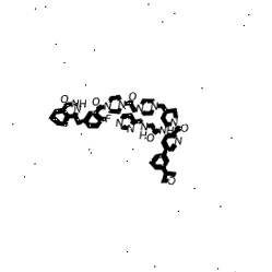 O=C(CNCc1ccncn1)Nc1cc(-c2cccc(C3COC3)c2)cnc1C(=O)N1CCC(CN2CCN(CC(=O)N3CCN(C(=O)c4cc(Cc5n[nH]c(=O)c6ccccc56)ccc4F)CC3)CC2)CC1